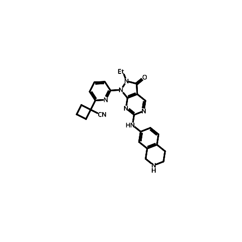 CCn1c(=O)c2cnc(Nc3ccc4c(c3)CNCC4)nc2n1-c1cccc(C2(C#N)CCC2)n1